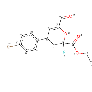 CCOC(=O)C1(F)CC(c2ccc(Br)cc2)C=C(C=O)O1